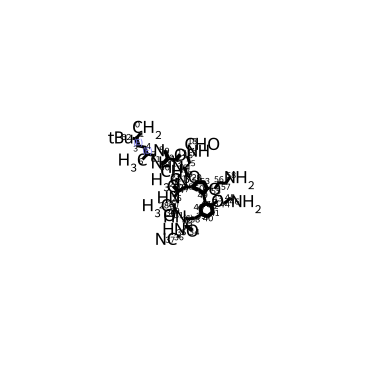 C=C/C(=C\C=C(/C)c1ncc(C(=O)N[C@@H](CCNC=O)C(=O)N(C)[C@@H]2C(=O)N[C@@H](C)C(=O)N[C@H](C(=O)NCC#N)Cc3ccc(OCCN)c(c3)-c3cc2ccc3OCCN)c(C)n1)C(C)(C)C